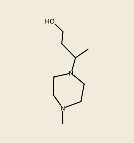 CC(CCO)N1CCN(C)CC1